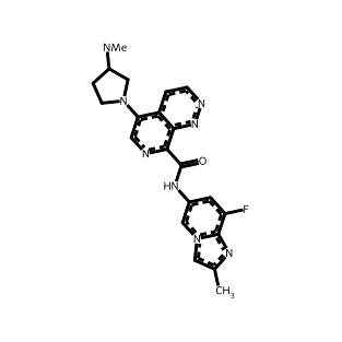 CNC1CCN(c2cnc(C(=O)Nc3cc(F)c4nc(C)cn4c3)c3nnccc23)C1